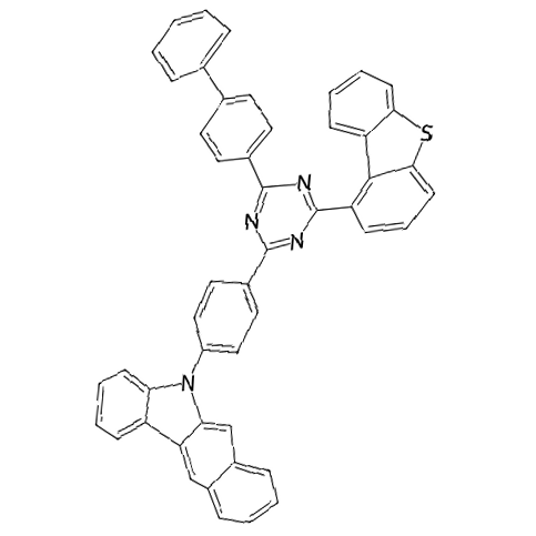 c1ccc(-c2ccc(-c3nc(-c4ccc(-n5c6ccccc6c6cc7ccccc7cc65)cc4)nc(-c4cccc5sc6ccccc6c45)n3)cc2)cc1